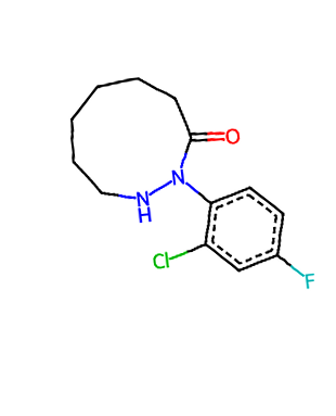 O=C1CCCCCCNN1c1ccc(F)cc1Cl